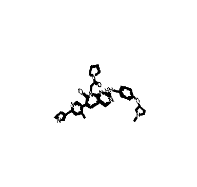 Cc1cc(C2=CN=CC2)ncc1-c1cc2cnc(Nc3ccc(OC4CCN(C)C4)cc3)nc2n(CC(=O)N2CCCC2)c1=O